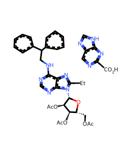 CCc1nc2c(NCC(c3ccccc3)c3ccccc3)ncnc2n1[C@@H]1O[C@H](COC(C)=O)[C@@H](OC(C)=O)[C@H]1OC(C)=O.O=C(O)c1ncc2nc[nH]c2n1